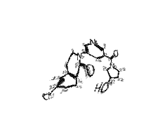 O=C(c1cncc(N2CCc3cc(Cl)ccc3C2=O)c1)N1CCC(O)C1